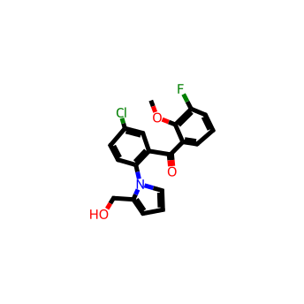 COc1c(F)cccc1C(=O)c1cc(Cl)ccc1-n1cccc1CO